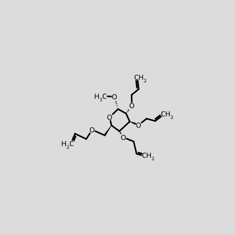 C=CCOC[C@H]1O[C@H](OC)[C@H](OCC=C)[C@@H](OCC=C)[C@@H]1OCC=C